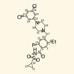 CCc1cc(C(=O)NS(=O)(=O)C2CC2)c(F)cc1CN1CCN(c2cc(Cl)cc(Cl)c2)CC1